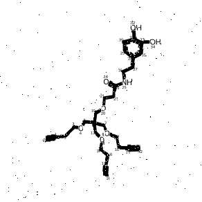 C#CCCOCC(COCCC#C)(COCCC#C)COCCC(=O)NCCc1ccc(O)c(O)c1